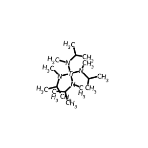 CC(C)[N](C)[Ti]([N](C)C(C)C)([N](C)C(C)C)[N](C)C(C)C